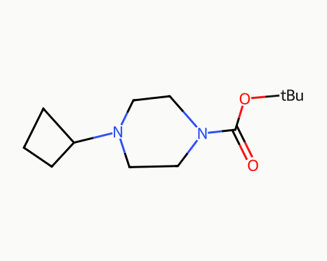 CC(C)(C)OC(=O)N1CCN(C2CCC2)CC1